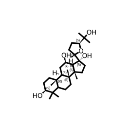 CC(C)(O)[C@@H]1CC[C@@](C)([C@@]2(O)CC[C@@]3(C)[C@@H]2[C@H](O)C[C@@H]2[C@@]4(C)CC[C@H](O)C(C)(C)C4CC[C@]23C)O1